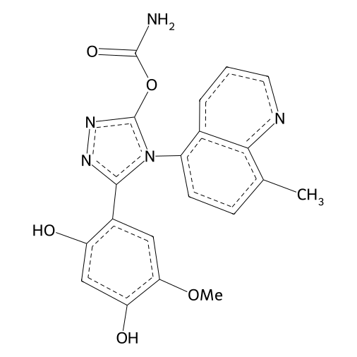 COc1cc(-c2nnc(OC(N)=O)n2-c2ccc(C)c3ncccc23)c(O)cc1O